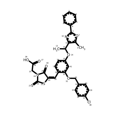 Cc1oc(-c2ccccc2)nc1C(C)Oc1ccc(/C=C2/SC(=S)N(CC(=O)O)C2=O)c(OCc2ccc(Cl)cc2)c1